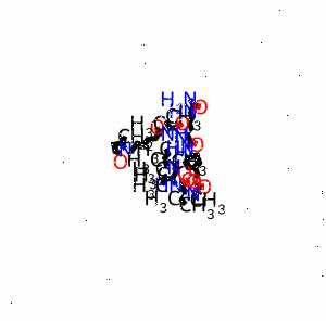 C=C1C=CC(=O)N1CCCCCC(=O)N[C@H](C(=O)N[C@@H](CCCNC(N)=O)C(=O)Nc1ccc(COC(=O)N(C)[C@H](C(=O)NC(C(=O)N(C)[C@H](C)[C@@H](C)CC)C(C)C)C(C)C)cc1)C(C)C